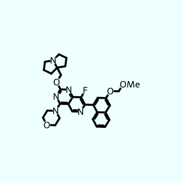 COCOc1cc(-c2ncc3c(N4CCOCC4)nc(OCC45CCCN4CCC5)nc3c2F)c2ccccc2c1